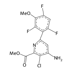 COC(=O)c1nc(-c2c(F)cc(F)c(OC)c2F)cc(N)c1Cl